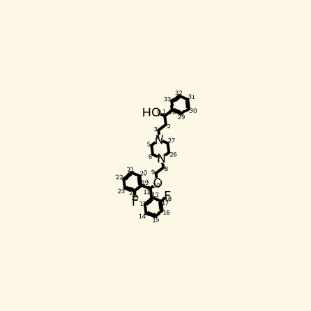 OC(CCN1CCN(CCOC(c2ccccc2F)c2ccccc2F)CC1)c1ccccc1